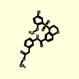 CCOC(=O)Cc1cccc(NC(=O)c2ccc3c(c2)N(S(=O)(=O)c2cc(Cl)ccc2OC)CCO3)c1